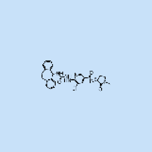 CN1CC[C@@H](NC(=O)c2cnc(NNC(=O)NC3c4ccccc4CCc4ccccc43)c(Cl)c2)C1=O